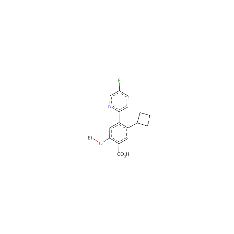 CCOc1cc(-c2ccc(F)cn2)c(C2CCC2)cc1C(=O)O